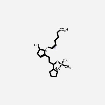 CC(C)(C)[Si](C)(C)OC(CCC1=CCC(O)[C@@H]1C/C=C\CCCC(=O)O)C1CCCC1